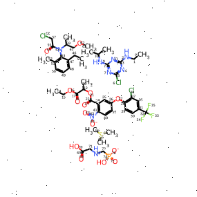 CCNc1nc(Cl)nc(NC(C)C)n1.CCOC(=O)C(C)OC(=O)c1cc(Oc2ccc(C(F)(F)F)cc2Cl)ccc1[N+](=O)[O-].CCc1cccc(C)c1N(C(=O)CCl)C(C)COC.C[S+](C)C.O=C(O)CNCP(=O)([O-])O